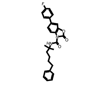 CC(C)(CCCCc1ccccc1)NC(=O)n1c(=O)oc2cc(-c3ccc(F)cc3)ccc21